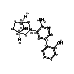 Nc1nnc(-c2ccccc2O)cc1N1C[C@H]2CC[C@@H](C1)N2